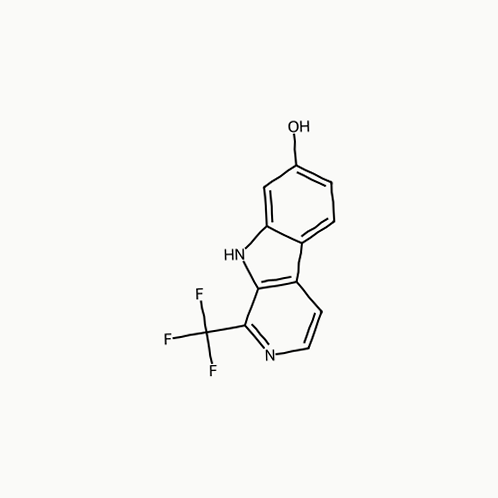 Oc1ccc2c(c1)[nH]c1c(C(F)(F)F)nccc12